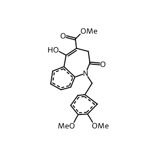 COC(=O)C1=C(O)c2ccccc2N(Cc2ccc(OC)c(OC)c2)C(=O)C1